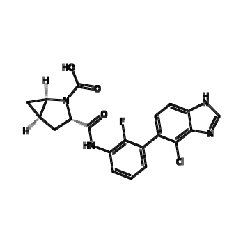 O=C(Nc1cccc(-c2ccc3[nH]cnc3c2Cl)c1F)[C@@H]1C[C@H]2C[C@H]2N1C(=O)O